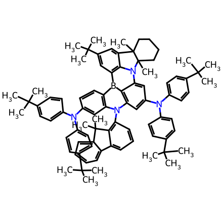 CC(C)(C)c1ccc(N(c2ccc(C(C)(C)C)cc2)c2ccc3c(c2)N(c2cccc4c2C(C)(C)c2ccccc2-4)c2cc(N(c4ccc(C(C)(C)C)cc4)c4ccc(C(C)(C)C)cc4)cc4c2B3c2cc(C(C)(C)C)cc3c2N4C2(C)CCCCC32C)cc1